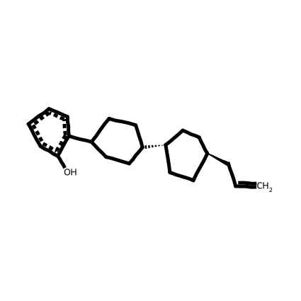 C=CC[C@H]1CC[C@H](C2CCC(c3ccccc3O)CC2)CC1